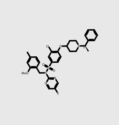 COc1cc(C)ccc1CN(c1ncc(F)cn1)S(=O)(=O)c1ccc(OC2CCN([C@H](C)c3ccccc3)CC2)c(Cl)c1